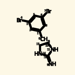 Cc1cc(Br)cc(Br)c1.N=C1NCCN1